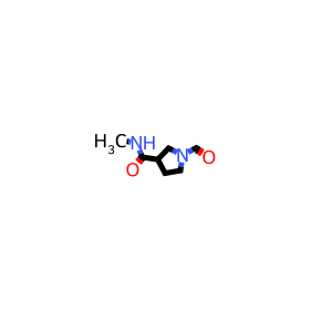 CNC(=O)C1CCN(C=O)C1